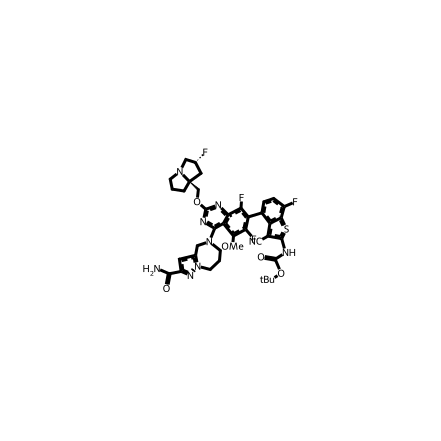 COc1c(F)c(-c2ccc(F)c3sc(NC(=O)OC(C)(C)C)c(C#N)c23)c(F)c2nc(OC[C@@]34CCCN3C[C@H](F)C4)nc(N3CCCn4nc(C(N)=O)cc4C3)c12